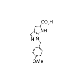 COc1ccc(Cn2ncc3cc(C(=O)O)[nH]c32)cc1